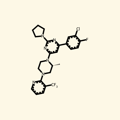 C[C@@H]1CN(c2ncccc2C(F)(F)F)CCN1c1cc(-c2ccc(F)c(Cl)c2)nc(N2CCCC2)n1